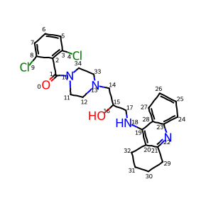 O=C(c1c(Cl)cccc1Cl)N1CCN(CC(O)CNc2c3c(nc4ccccc24)CCCC3)CC1